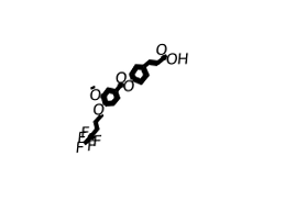 COc1cc(C(=O)Oc2ccc(C=CC(=O)O)cc2)ccc1OCCCC(F)(F)C(F)(F)F